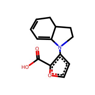 O=C(O)c1occc1N1CCC2CC=CC=C21